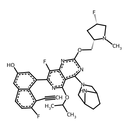 C#Cc1c(F)ccc2cc(O)cc(-c3nc(OC(C)C)c4c(N5CC6CCC(C5)N6)nc(OC[C@@H]5C[C@H](F)CN5C)nc4c3F)c12